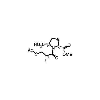 COC(=O)[C@H]1SC[C@@H](C(=O)O)N1C(=O)[C@H](C)CSC(C)=O